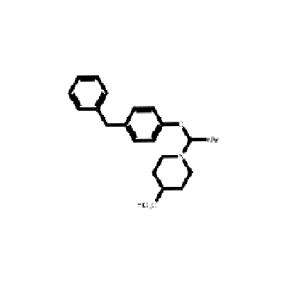 CCCC(Oc1ccc(Cc2ccccc2)cc1)N1CCC(C(=O)O)CC1